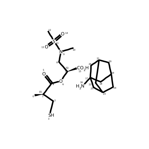 C[C@H](CS)C(=O)O[C@@H](CN(C)S(C)(=O)=O)C(=O)O.NC12CC3CC(CC(C3)C1)C2